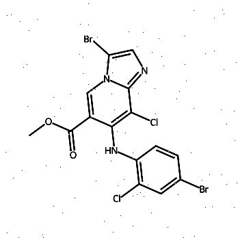 COC(=O)c1cn2c(Br)cnc2c(Cl)c1Nc1ccc(Br)cc1Cl